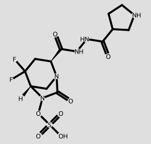 O=C(NNC(=O)[C@@H]1CC(F)(F)[C@@H]2CN1C(=O)N2OS(=O)(=O)O)C1CCNC1